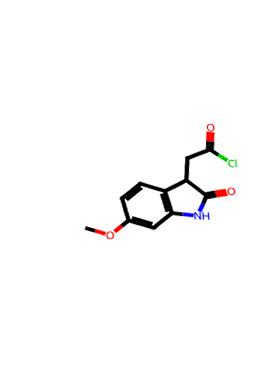 COc1ccc2c(c1)NC(=O)C2CC(=O)Cl